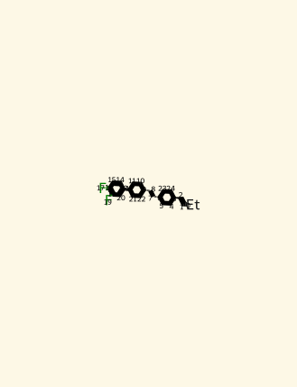 CC/C=C/[C@H]1CC[C@H](CC[C@H]2CC[C@H](c3ccc(F)c(F)c3)CC2)CC1